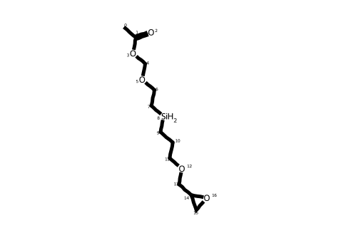 CC(=O)OCOCC[SiH2]CCCOCC1CO1